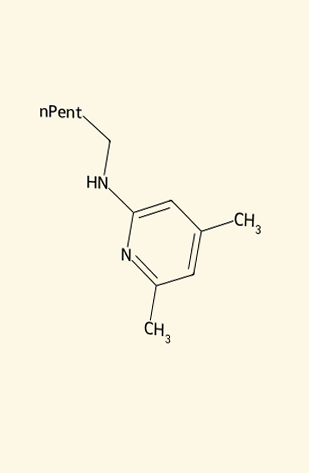 CCCCCCNc1cc(C)cc(C)n1